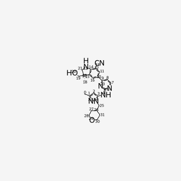 Cc1cc(Nc2nccc(-c3cc(C#N)c4c(c3)[C@@](C)(CO)CN4)n2)n(CC2CCOCC2)n1